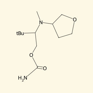 CN(C1CCOC1)C(COC(N)=O)C(C)(C)C